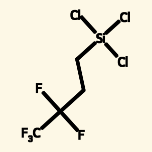 FC(F)(F)C(F)(F)CC[Si](Cl)(Cl)Cl